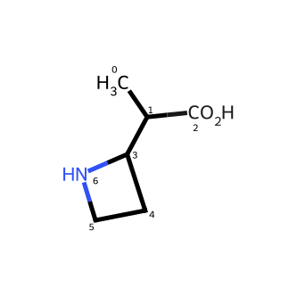 CC(C(=O)O)C1CCN1